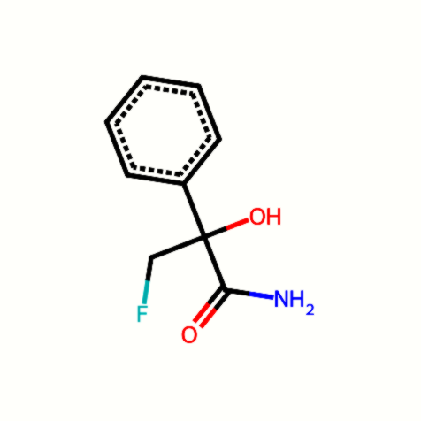 NC(=O)C(O)(CF)c1ccccc1